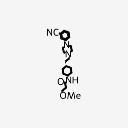 COCCC(=O)N[C@H]1CC[C@H](CCN2CCN(c3cccc(C#N)c3)CC2)CC1